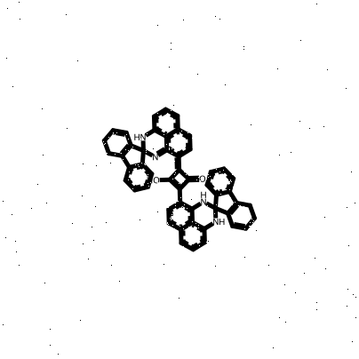 O=C1C(c2ccc3cccc4c3c2NC2(N4)C3=C(CCC=C3)c3ccccc32)=C(O)/C1=c1/ccc2cccc3c2c1=NC1(N3)C2=C(CCC=C2)c2ccccc21